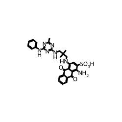 Cc1nc(NCC(C)(C)CNc2cc(S(=O)(=O)O)c(N)c3c2C(=O)c2ccccc2C3=O)nc(Nc2ccccc2)n1